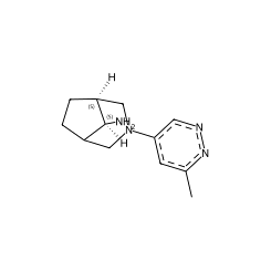 Cc1cc(N2CC3CC[C@@H](C2)[C@H]3N)cnn1